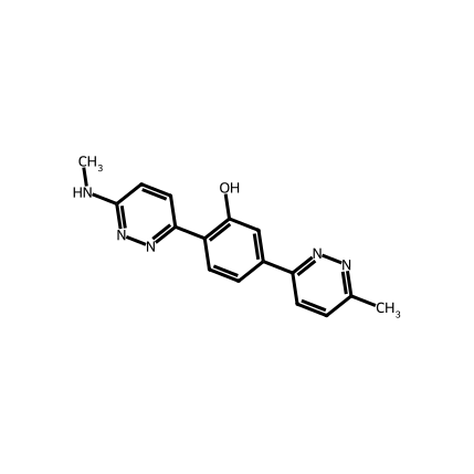 CNc1ccc(-c2ccc(-c3ccc(C)nn3)cc2O)nn1